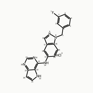 Cl.Fc1cccc(Cn2ncc3cc(Nc4ncnc5cc[nH]c45)ccc32)c1